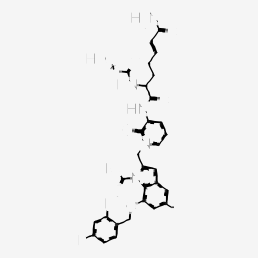 COC(=O)NC(CCC=CC(N)=O)C(=O)Nc1cccn(Cc2cc3cc(F)cc(OCc4ccc(F)cc4F)c3n2C(=O)O)c1=O